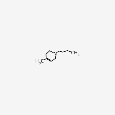 CCCCN1CC=C(C)CC1